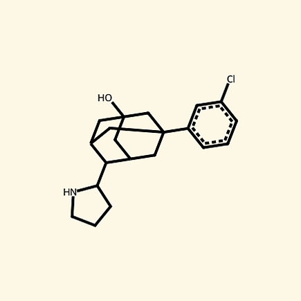 OC12CC3CC(c4cccc(Cl)c4)(CC(C1)C3C1CCCN1)C2